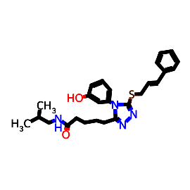 CC(C)CNC(=O)CCCCc1nnc(SC/C=C/c2ccccc2)n1-c1cccc(O)c1